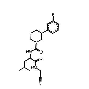 CC(C)CC(NC(=O)N1CCCC(c2cccc(F)c2)C1)C(=O)NCC#N